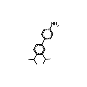 CC(C)c1ccc(-c2ccc(N)cc2)cc1C(C)C